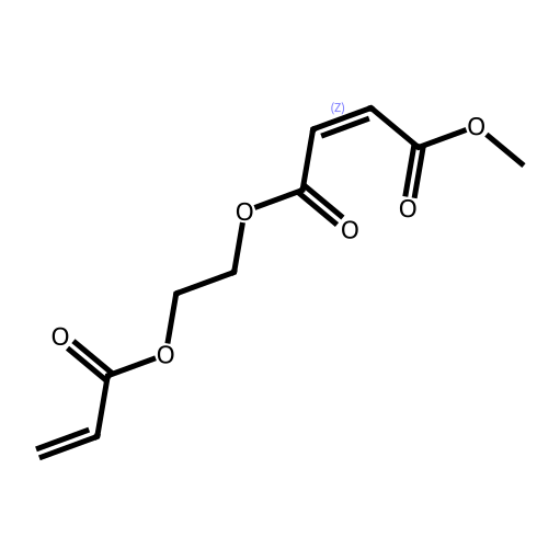 C=CC(=O)OCCOC(=O)/C=C\C(=O)OC